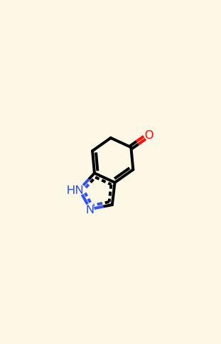 O=C1C=c2cn[nH]c2=CC1